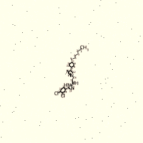 CCCCCCCc1ccc(-c2cn(CCNc3ncc(-c4ccc(Cl)c(Cl)c4)[nH]3)nn2)cc1